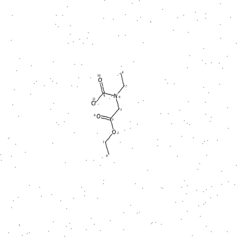 CCOC(=O)CN(CC)C(=O)Cl